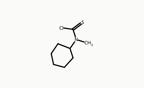 CN(C(=S)Cl)C1CCCCC1